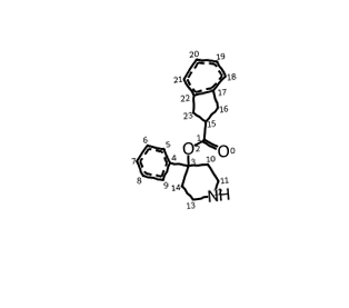 O=C(OC1(c2ccccc2)CCNCC1)C1Cc2ccccc2C1